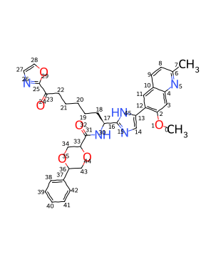 COc1cc2nc(C)ccc2cc1-c1cnc([C@H](CCCCCC(=O)c2ncco2)NC(=O)C2COC(c3ccccc3)CO2)[nH]1